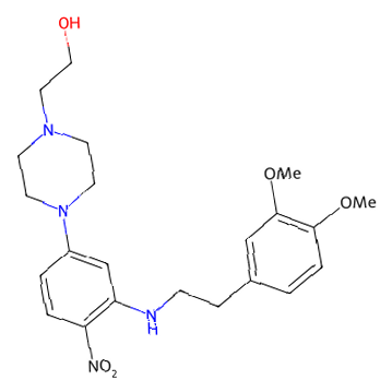 COc1ccc(CCNc2cc(N3CCN(CCO)CC3)ccc2[N+](=O)[O-])cc1OC